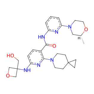 C[C@@H]1CN(c2cccc(NC(=O)c3ccc(NC4(CO)COC4)nc3N3CCC4(CC3)CC4)n2)CCO1